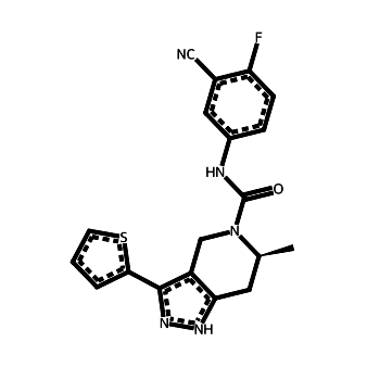 C[C@H]1Cc2[nH]nc(-c3cccs3)c2CN1C(=O)Nc1ccc(F)c(C#N)c1